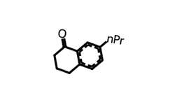 CCCc1ccc2c(c1)C(=O)CCC2